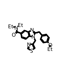 CCOc1ccc(Cc2nc3cc(C(=O)N(CC)CC)ccc3n2Cc2cscn2)cc1